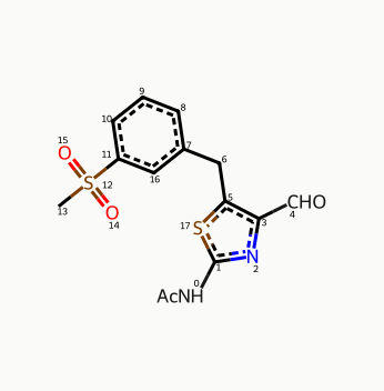 CC(=O)Nc1nc(C=O)c(Cc2cccc(S(C)(=O)=O)c2)s1